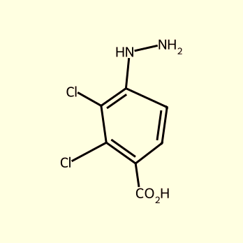 NNc1ccc(C(=O)O)c(Cl)c1Cl